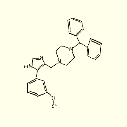 COc1cccc(-c2[nH]cnc2CN2CCN(C(c3ccccc3)c3ccccc3)CC2)c1